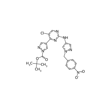 CC(C)(C)OC(=O)n1cc(-c2nc(Nc3cnn(Cc4ccc([N+](=O)[O-])cc4)c3)ncc2Cl)cn1